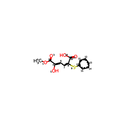 COC(=O)C(O)=CC=C(Sc1ccccc1)C(=O)O